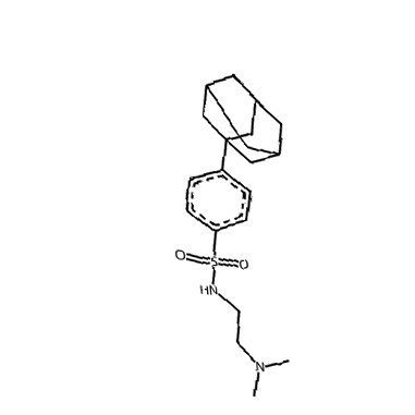 CN(C)CCNS(=O)(=O)c1ccc(C23CC4CC(CC(C4)C2)C3)cc1